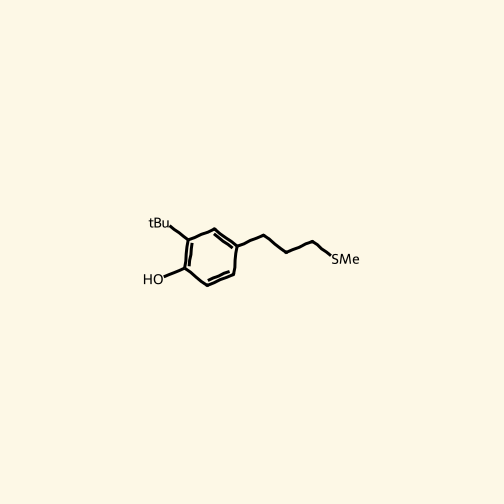 CSCCCc1ccc(O)c(C(C)(C)C)c1